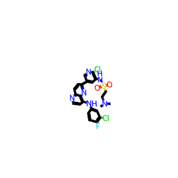 CN(C)CCS(=O)(=O)Nc1cc(-c2ccc3nccc(Nc4ccc(F)c(Cl)c4)c3n2)cnc1Cl